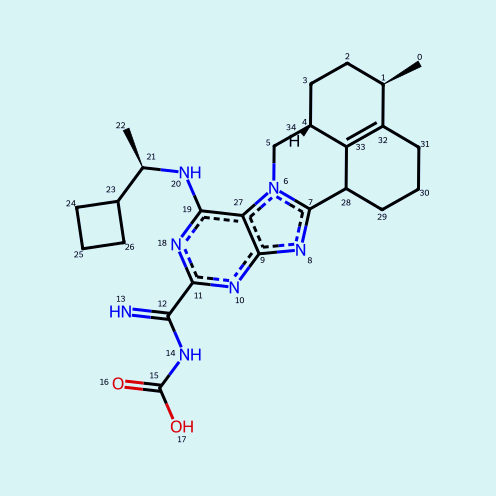 C[C@@H]1CC[C@H]2Cn3c(nc4nc(C(=N)NC(=O)O)nc(N[C@H](C)C5CCC5)c43)C3CCCC1=C32